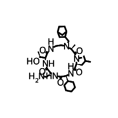 CC(C)C[C@H]1C(=O)N[C@@H](C2CCCCC2)C(=O)N[C@@H](CN)C(=O)N[C@@H]([C@H](C)O)C(=O)NCCN(CC2CC3CCC2C3)[C@@H](C)C(=O)N1C